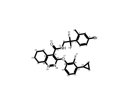 Cc1cc(Br)ccc1C(F)(F)CNC(=O)c1c(Oc2cccc(C3CC3)c2F)nnc2c1CCCC2